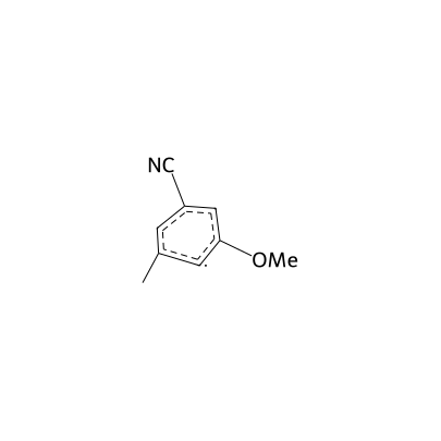 COc1[c]c(C)cc(C#N)c1